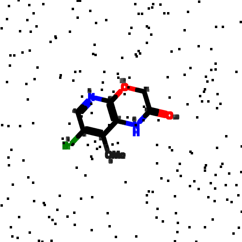 COc1c(Br)cnc2c1NC(=O)CO2